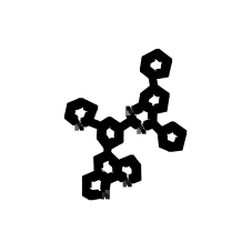 c1ccc(-c2ccc3c(-c4ccccc4)nc(-c4cc(-c5ccccn5)cc(-c5cc6cccnc6c6ncccc56)c4)nc3c2)cc1